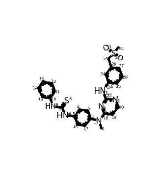 CN(c1ccc(NC(=S)Nc2ccccc2)cc1)c1ccnc(Nc2cccc(CS(C)(=O)=O)c2)n1